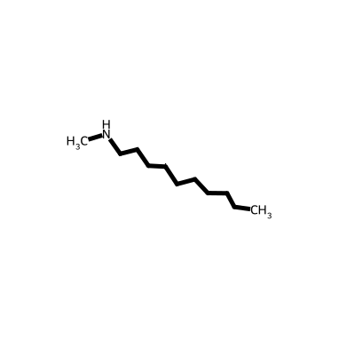 CCCCCC[CH]CCCNC